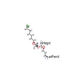 CCCCC/C=C\CCOC(CCCCCCC)O[Si](C)(C)OCCCCCCBr